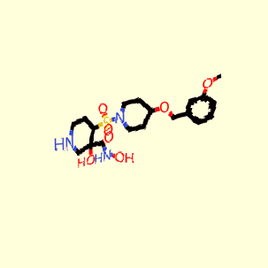 COc1cccc(COC2CCN(S(=O)(=O)C3CCNCC3(O)C(=O)NO)CC2)c1